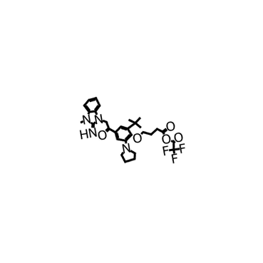 Cn1c(=N)n(CC(=O)c2cc(N3CCCC3)c(OCCCC(=O)OC(=O)C(F)(F)F)c(C(C)(C)C)c2)c2ccccc21